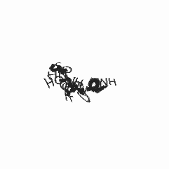 O=C(NC[C@H](NC(=O)c1sc(C(=O)NCc2cccc3[nH]ccc23)cc1C(F)(F)F)C(=O)O)c1cccs1